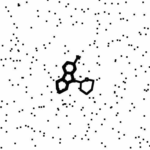 Brc1ccc2c3ccccc3n(C3CCCCO3)c2c1